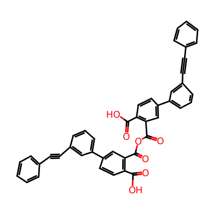 O=C(O)c1ccc(-c2cccc(C#Cc3ccccc3)c2)cc1C(=O)OC(=O)c1cc(-c2cccc(C#Cc3ccccc3)c2)ccc1C(=O)O